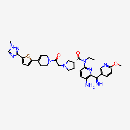 CCN(C(=O)[C@@H]1CCN(CC(=O)N2CC=C(c3ccc(-c4ncn(C)n4)s3)CC2)C1)c1ccc(N)c(C(=N)c2ccc(OC)nc2)n1